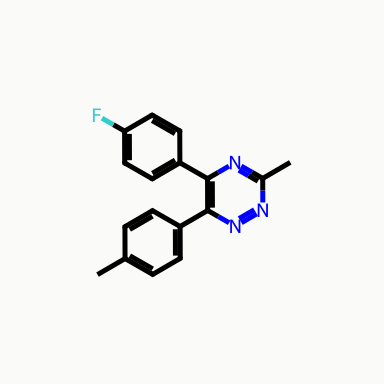 Cc1ccc(-c2nnc(C)nc2-c2ccc(F)cc2)cc1